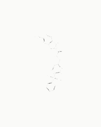 Nc1ncc2c(n1)CN(C(=O)NCc1ccc(S(=O)(=O)c3ccccc3)cn1)C2